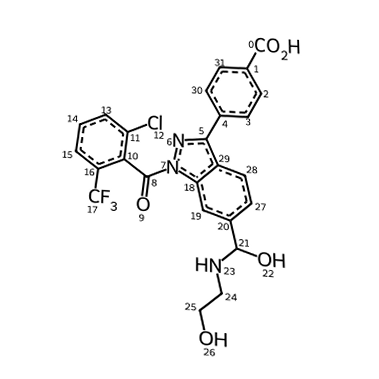 O=C(O)c1ccc(-c2nn(C(=O)c3c(Cl)cccc3C(F)(F)F)c3cc(C(O)NCCO)ccc23)cc1